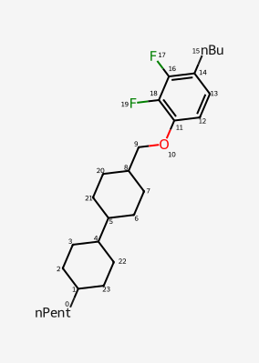 CCCCCC1CCC(C2CCC(COc3ccc(CCCC)c(F)c3F)CC2)CC1